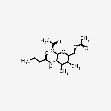 CCCC(=O)N[C@@H]1C(OC(C)=O)OC(COC(C)=O)[C@@H](C)C1C